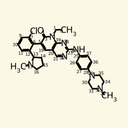 CCn1c(=O)c(-c2c(Cl)cccc2C2CCCN2C)cc2cnc(Nc3ccc(N4CCN(C)CC4)cc3)nc21